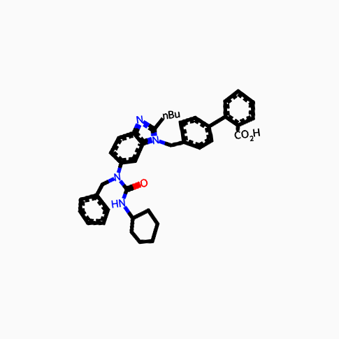 CCCCc1nc2ccc(N(Cc3ccccc3)C(=O)NC3CCCCC3)cc2n1Cc1ccc(-c2ccccc2C(=O)O)cc1